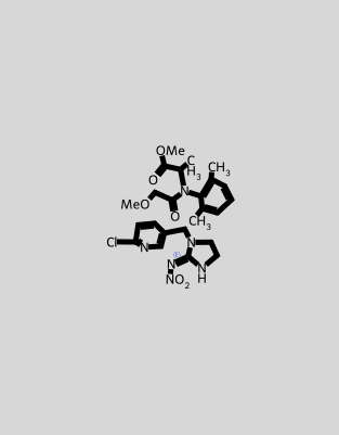 COCC(=O)N(c1c(C)cccc1C)C(C)C(=O)OC.O=[N+]([O-])/N=C1\NCCN1Cc1ccc(Cl)nc1